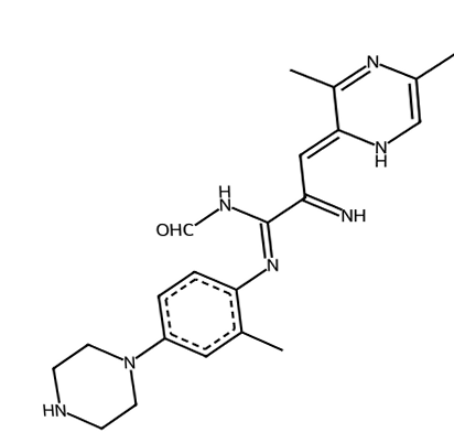 CC1=CN/C(=C\C(=N)/C(=N/c2ccc(N3CCNCC3)cc2C)NC=O)C(C)=N1